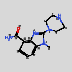 Cn1c(N2CCNCC2)nc2c(C(N)=O)cccc21